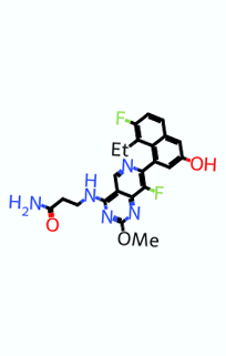 CCc1c(F)ccc2cc(O)cc(-c3ncc4c(NCCC(N)=O)nc(OC)nc4c3F)c12